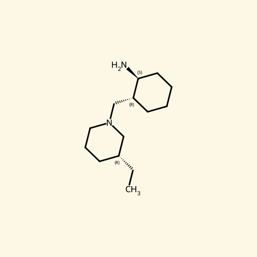 CC[C@@H]1CCCN(C[C@H]2CCCC[C@@H]2N)C1